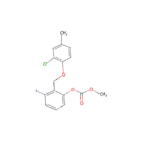 COC(=O)Oc1cccc(I)c1COc1ccc(C)cc1Cl